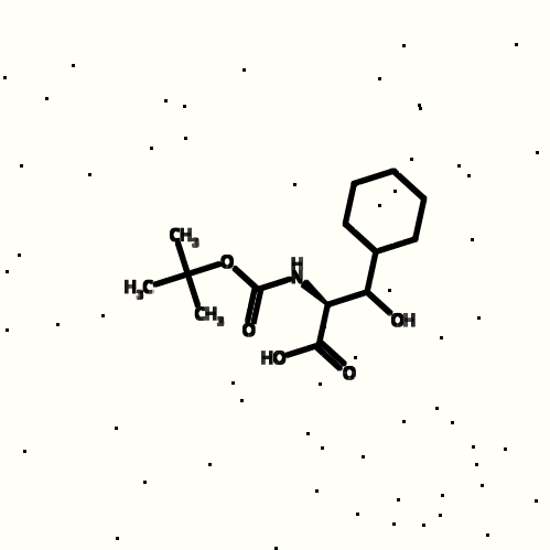 CC(C)(C)OC(=O)N[C@H](C(=O)O)C(O)C1CCCCC1